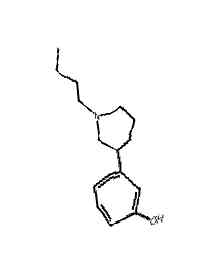 CCCCN1CCCC(c2cccc(O)c2)C1